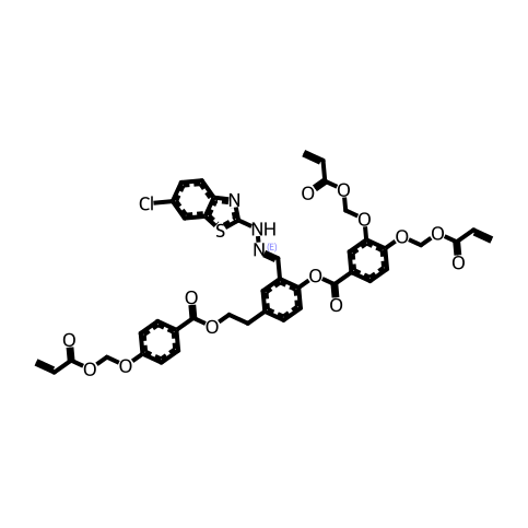 C=CC(=O)OCOc1ccc(C(=O)OCCc2ccc(OC(=O)c3ccc(OCOC(=O)C=C)c(OCOC(=O)C=C)c3)c(/C=N/Nc3nc4ccc(Cl)cc4s3)c2)cc1